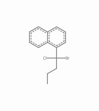 CCCC(Cl)(Br)c1cccc2ccccc12